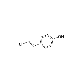 Oc1ccc(C=CCl)cc1